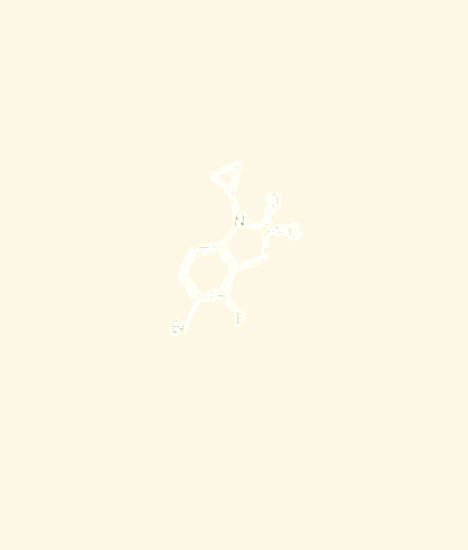 O=S1(=O)Cc2c(ccc(Br)c2F)N1C1CC1